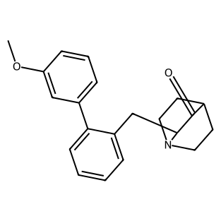 COc1cccc(-c2ccccc2CC2C(=O)C3CCN2CC3)c1